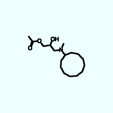 CC(=O)OCC(O)CN(C)C1CCCCCCCCCC1